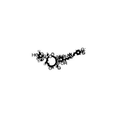 CC[C@H]1OC(=O)C[C@@H](O)[C@H](C)[C@@H](OC2OC(C)C(O)C(N(C)CCc3cn(CCc4ccc([N+](=O)[O-])cc4)nn3)C2O)[C@@H](CC=O)C[C@@H](C)C(=O)/C=C/C(C)=C/[C@@H]1COC1OC(C)C(O)C(OC)C1OC